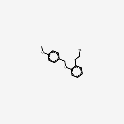 COc1ccc(COc2ccccc2CCO)cc1